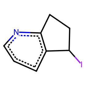 IC1CCc2ncccc21